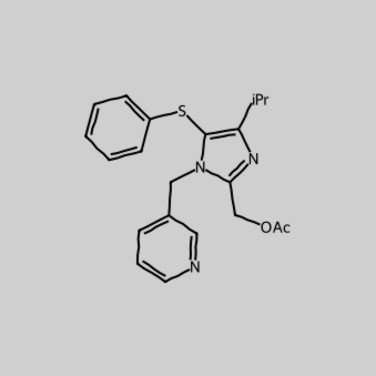 CC(=O)OCc1nc(C(C)C)c(Sc2ccccc2)n1Cc1cccnc1